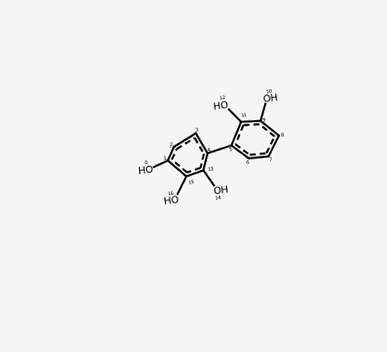 Oc1[c]cc(-c2cccc(O)c2O)c(O)c1O